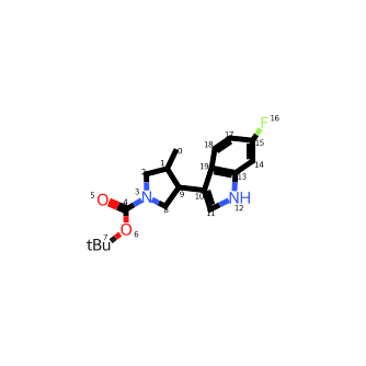 CC1CN(C(=O)OC(C)(C)C)CC1c1c[nH]c2cc(F)ccc12